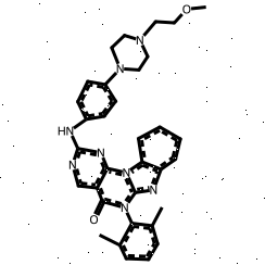 COCCN1CCN(c2ccc(Nc3ncc4c(=O)n(-c5c(C)cccc5C)c5nc6ccccc6n5c4n3)cc2)CC1